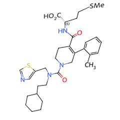 CSCC[C@H](NC(=O)C1=C(c2ccccc2C)CN(C(=O)N(CCC2CCCCC2)Cc2cncs2)CC1)C(=O)O